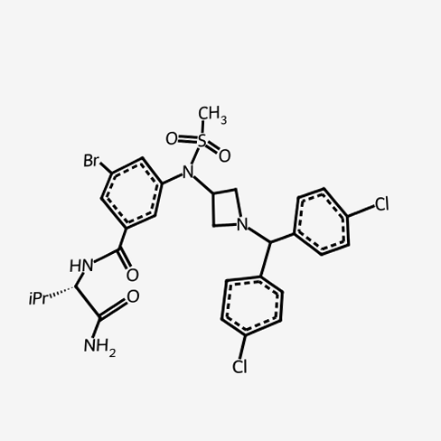 CC(C)[C@H](NC(=O)c1cc(Br)cc(N(C2CN(C(c3ccc(Cl)cc3)c3ccc(Cl)cc3)C2)S(C)(=O)=O)c1)C(N)=O